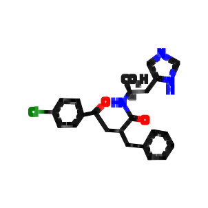 O=C(CC(Cc1ccccc1)C(=O)N[C@H](Cc1cnc[nH]1)C(=O)O)c1ccc(Cl)cc1